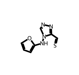 S=Cc1nncn1Nc1ccco1